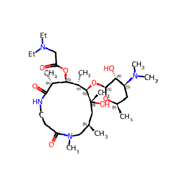 CCN(CC)CC(=O)O[C@H]1[C@H](C)[C@@H](O[C@@H]2O[C@H](C)C[C@H](N(C)C)[C@H]2O)[C@](C)(O)C[C@@H](C)CN(C)C(=O)CCNC(=O)[C@@H]1C